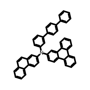 c1ccc(-c2ccc(-c3cccc(N(c4ccc5c(ccc6ccccc65)c4)c4ccc5c6ccccc6c6ccccc6c5c4)c3)cc2)cc1